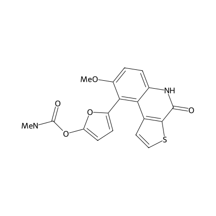 CNC(=O)Oc1ccc(-c2c(OC)ccc3[nH]c(=O)c4sccc4c23)o1